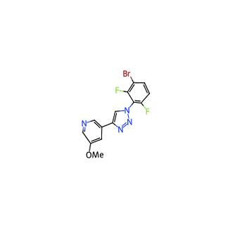 COc1cncc(-c2cn(-c3c(F)ccc(Br)c3F)nn2)c1